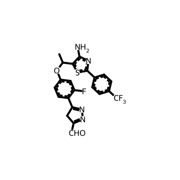 CC(Oc1ccc(C2=NN=C(C=O)C2)c(F)c1)c1sc(-c2ccc(C(F)(F)F)cc2)nc1N